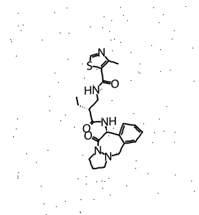 CC[C@H](CNC(=O)c1scnc1C)C(=O)N[C@@H]1C(=O)N2CCCN2Cc2ccccc21